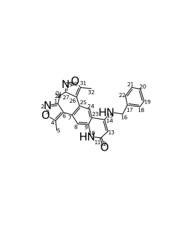 Cc1noc(C)c1-c1cc2[nH]c(=O)cc(NCc3ccccc3)c2cc1-c1c(C)noc1C